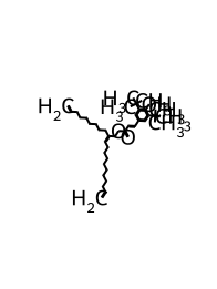 C=CCCCCCCCC/C=C(/CCCCCCCC=C)COC(=O)/C=C/c1cc(C(C)(C)C)c(O)c(C(C)(C)C)c1